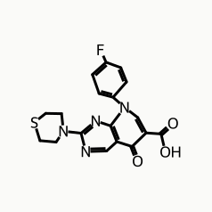 O=C(O)c1cn(-c2ccc(F)cc2)c2nc(N3CCSCC3)ncc2c1=O